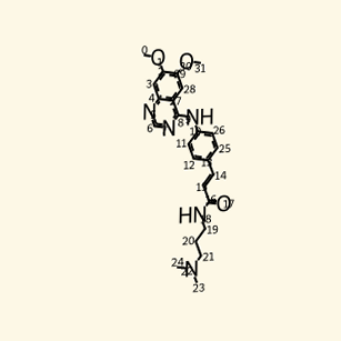 COc1cc2ncnc(Nc3ccc(C=CC(=O)NCCCN(C)C)cc3)c2cc1OC